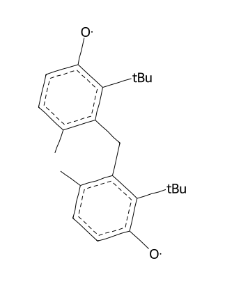 Cc1ccc([O])c(C(C)(C)C)c1Cc1c(C)ccc([O])c1C(C)(C)C